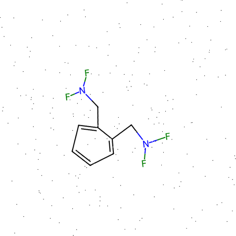 FN(F)Cc1ccccc1CN(F)F